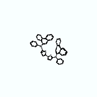 c1ccc(N(c2ccc(-c3ccc(N(c4ccccc4)c4cc5ccccc5c5ccccc45)s3)s2)c2cc3ccccc3c3ccccc23)cc1